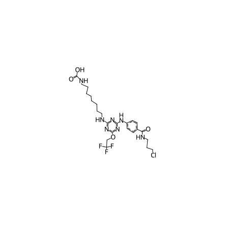 O=C(O)NCCCCCCCCNc1nc(Nc2ccc(C(=O)NCCCCl)cc2)nc(OCC(F)(F)F)n1